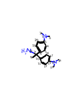 CN(C)c1ccc(C(C)(N)c2ccc(N(C)C)cc2)cc1